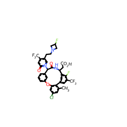 Cc1cc(Cl)cc2c1-c1cc(c(F)c(C(F)(F)F)c1)C(CC(=O)O)NC(=O)C(n1cc(CCN3CC(F)C3)c(C(F)(F)F)cc1=O)c1cccc(c1)O2